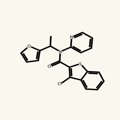 CC(c1ccco1)N(C(=O)c1sc2ccccc2c1Cl)c1ccccn1